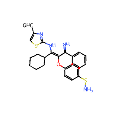 N=C(/C(Oc1ccc(SN)cc1)=C(\Nc1nc(C=O)cs1)C1CCCCC1)c1ccccc1